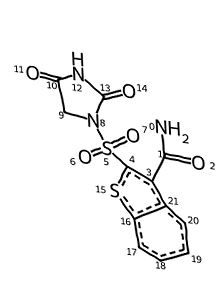 NC(=O)c1c(S(=O)(=O)N2CC(=O)NC2=O)sc2ccccc12